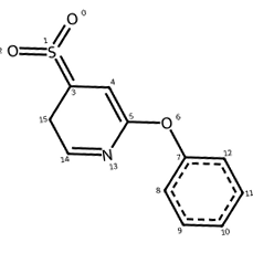 O=S(=O)=C1C=C(Oc2ccccc2)N=CC1